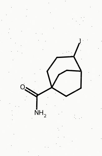 NC(=O)C12CCC(I)C(CC1)CC2